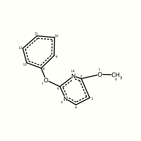 COc1ccnc(Oc2ccccc2)n1